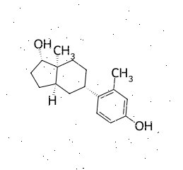 Cc1cc(O)ccc1[C@H]1CC[C@@]2(C)[C@H](CC[C@@H]2O)C1